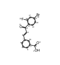 O=C(O)c1cccc(/C=C/C(=O)c2ccc(Br)cc2F)c1